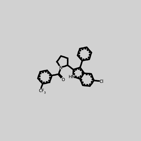 O=C(c1cccc(C(F)(F)F)c1)N1CCCC1c1[nH]c2ccc(Cl)cc2c1-c1ccccc1